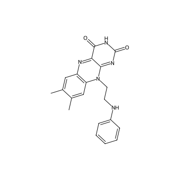 Cc1cc2nc3c(=O)[nH]c(=O)nc-3n(CCNc3ccccc3)c2cc1C